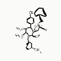 CC1C(C(=O)O)C(c2ccc(C#N)cc2)[N+](CC(=O)OCc2ccccc2)(C(=O)[O-])C(=O)N1c1cccc(C(F)(F)F)c1